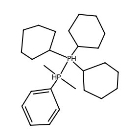 C[PH](C)(c1ccccc1)[PH](C1CCCCC1)(C1CCCCC1)C1CCCCC1